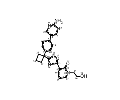 Nc1ncc(-c2ccc(C3(c4noc(-c5cccn(CCO)c5=O)n4)CCC3)cc2)cn1